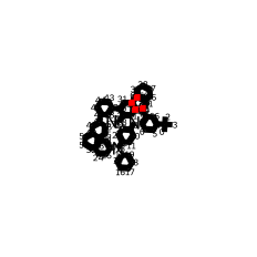 CC(C)(C)c1ccc(N2c3ccc(N(c4ccccc4)c4ccccc4)cc3B3c4c(cc5c(sc6ccccc65)c42)-c2cccc4c5cc6ccccc6cc5n3c24)c(-c2ccccc2)c1